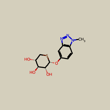 Cn1nnc2cc(O[C@H]3SC[C@@H](O)[C@H](O)[C@H]3O)ccc21